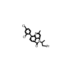 Cc1cc2c3c(ccc(-c4ccc(Cl)cc4Cl)c3n1)C(=O)N2C(C)CC(C)C